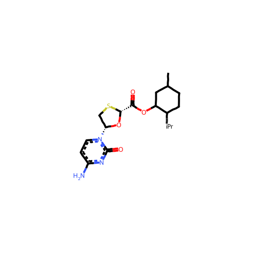 CC1CCC(C(C)C)C(OC(=O)[C@@H]2O[C@H](n3ccc(N)nc3=O)CS2)C1